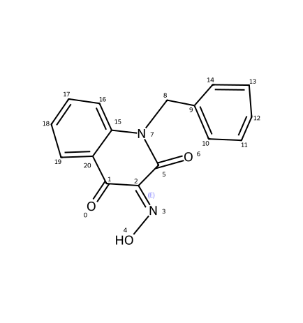 O=C1/C(=N\O)C(=O)N(Cc2ccccc2)c2ccccc21